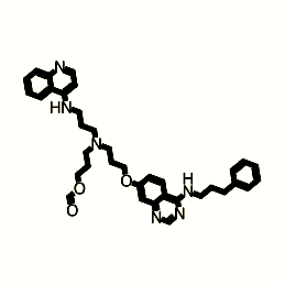 O=COCCCN(CCCNc1ccnc2ccccc12)CCCOc1ccc2c(NCCCc3ccccc3)ncnc2c1